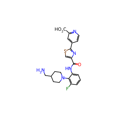 NCC1CCN(c2c(F)cccc2NC(=O)c2csc(-c3ccnc(C(=O)O)c3)n2)CC1